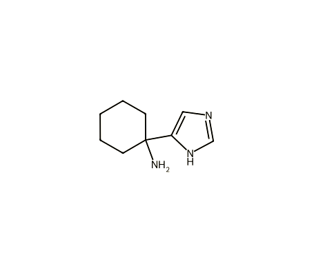 NC1(c2cnc[nH]2)CCCCC1